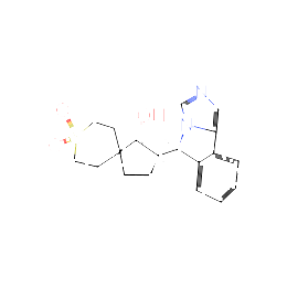 O=S1(=O)CCC2(CC[C@H]([C@@H]3c4ccccc4-c4cncn43)[C@H]2O)CC1